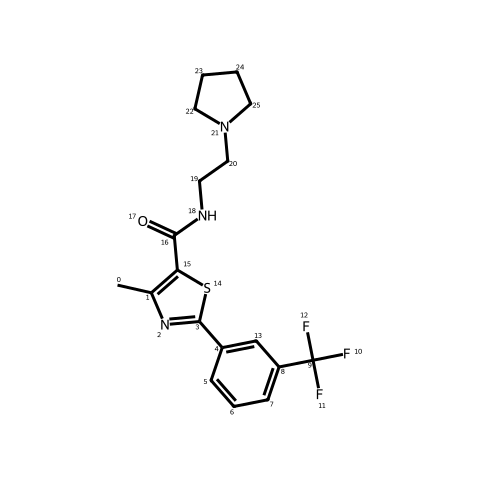 Cc1nc(-c2cccc(C(F)(F)F)c2)sc1C(=O)NCCN1CCCC1